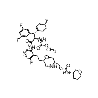 COC(=O)N[C@@H](C(=O)Nc1cncc(F)c1CC[C@@H]1CN[C@H](COC(=O)N[C@@H]2CCCOC2)CO1)[C@@H](c1ccc(F)cc1)c1cc(F)cc(F)c1